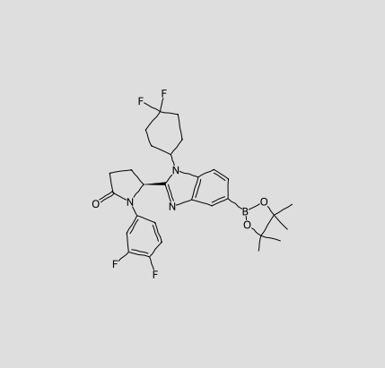 CC1(C)OB(c2ccc3c(c2)nc([C@@H]2CCC(=O)N2c2ccc(F)c(F)c2)n3C2CCC(F)(F)CC2)OC1(C)C